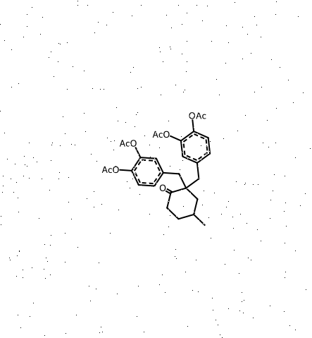 CC(=O)Oc1ccc(CC2(Cc3ccc(OC(C)=O)c(OC(C)=O)c3)CC(C)CCC2=O)cc1OC(C)=O